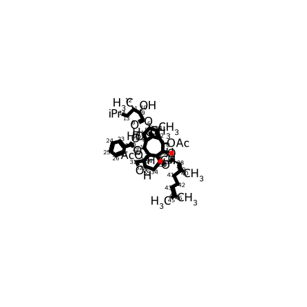 CC(=O)O[C@@H]1C2=C(C)[C@@H](OC(=O)[C@H](O)[C@@H](C)CC(C)C)C[C@@](O)([C@@H](OC(=O)c3ccccc3)[C@@H]3[C@]4(OC(C)=O)CO[C@@H]4C[C@@H]4O[C@H](C=C(C)CCC=C(C)C)O[C@@H]1[C@]43C)C2(C)C